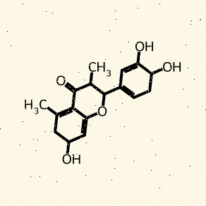 CC1=C2C(=O)C(C)C(C3=CCC(O)C(O)=C3)OC2=CC(O)C1